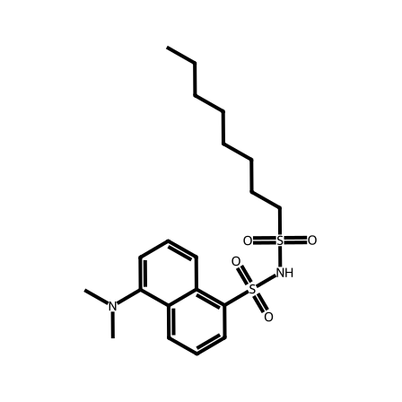 CCCCCCCCS(=O)(=O)NS(=O)(=O)c1cccc2c(N(C)C)cccc12